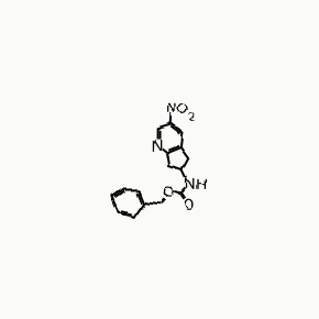 O=C(NC1Cc2cc([N+](=O)[O-])cnc2C1)OCc1ccccc1